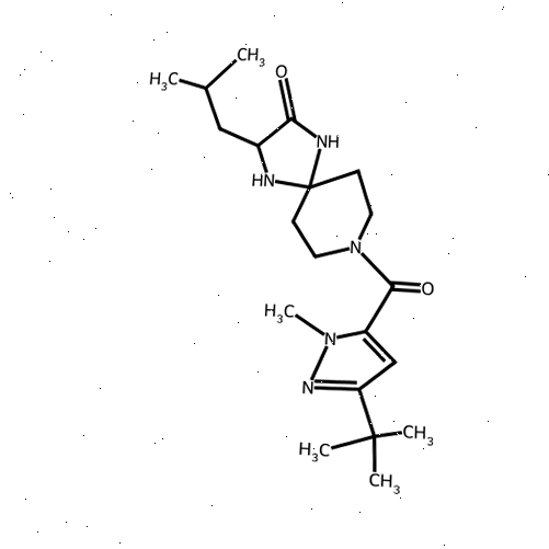 CC(C)CC1NC2(CCN(C(=O)c3cc(C(C)(C)C)nn3C)CC2)NC1=O